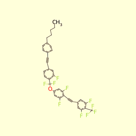 CCCCCc1ccc(C#Cc2ccc(C(F)(F)Oc3cc(F)c(C#Cc4cc(F)c(C(F)(F)F)c(F)c4)c(F)c3)c(F)c2)cc1